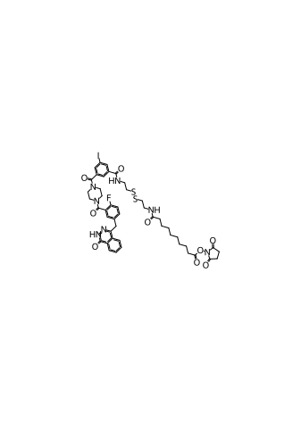 O=C(CCCCCCCCC(=O)ON1C(=O)CCC1=O)NCCSSCCNC(=O)c1cc(I)cc(C(=O)N2CCN(C(=O)c3cc(Cc4n[nH]c(=O)c5ccccc45)ccc3F)CC2)c1